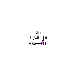 [CaH2].[Fe][PH][SeH].[Zn]